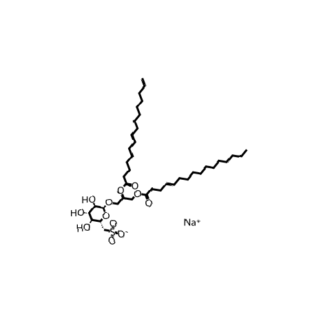 CCCCCCCCCCCCCCCC(=O)OCC(CO[C@H]1O[C@H](CS(=O)(=O)[O-])[C@@H](O)[C@H](O)[C@H]1O)OC(=O)CCCCCCCCCCCCCCC.[Na+]